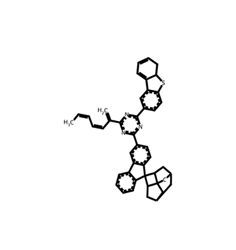 C=C(/C=C\C=C/C)c1nc(-c2ccc3c(c2)C2=CC=CCC2S3)nc(-c2ccc3c(c2)-c2ccccc2C32C3CC4CC5CC2C3(C4)C5)n1